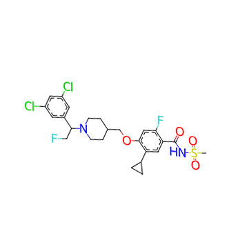 CS(=O)(=O)NC(=O)c1cc(C2CC2)c(OCC2CCN(C(CF)c3cc(Cl)cc(Cl)c3)CC2)cc1F